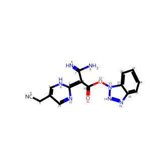 N#CCC1=CN/C(=C(\C(=N)N)C(=O)On2nnc3ccccc32)N=C1